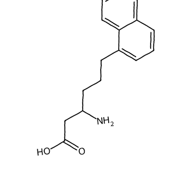 NC(CCCc1cccc2ccccc12)CC(=O)O